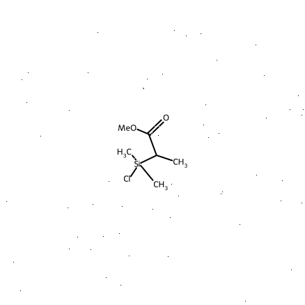 COC(=O)C(C)[Si](C)(C)Cl